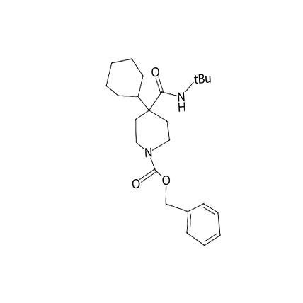 CC(C)(C)NC(=O)C1(C2CCCCC2)CCN(C(=O)OCc2ccccc2)CC1